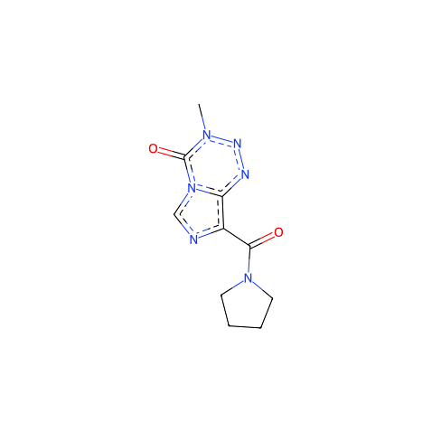 Cn1nnc2c(C(=O)N3CCCC3)ncn2c1=O